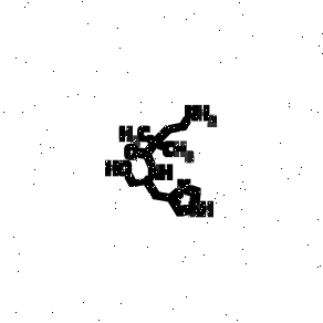 CC(C)(CCN)C(=O)N[C@H](CO)Cc1c[nH]cn1